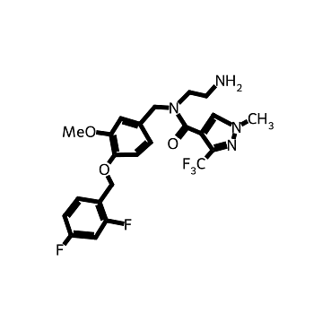 COc1cc(CN(CCN)C(=O)c2cn(C)nc2C(F)(F)F)ccc1OCc1ccc(F)cc1F